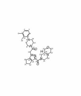 Cc1cccc(N2CCN(C(=O)Cn3nc(C(=O)N4CCN5CCOC[C@@H]5C4)c4c3CCC4)CC2)c1C